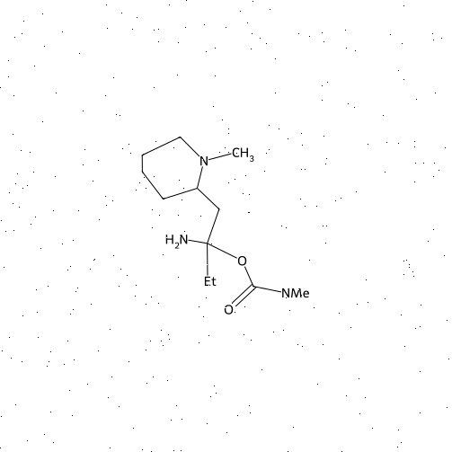 CCC(N)(CC1CCCCN1C)OC(=O)NC